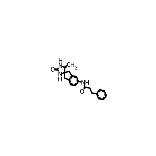 C=C1NC(=O)NC12Cc1ccc(NC(=O)CCc3ccccc3)cc1C2